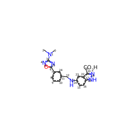 CN(C)c1noc(-c2cccc(CNc3ccc4[nH]nc(C(=O)O)c4c3)c2)n1